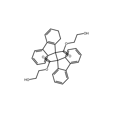 O=C(OCCO)C1(C2(C(=O)OCCO)c3ccccc3-c3ccccc32)C2=C(C=CCC2)c2ccccc21